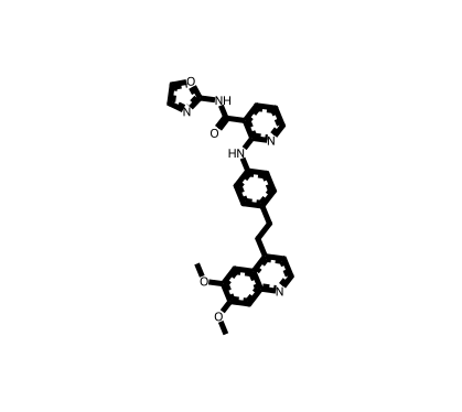 COc1cc2nccc(CCc3ccc(Nc4ncccc4C(=O)Nc4ncco4)cc3)c2cc1OC